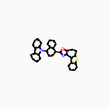 c1ccc2c(c1)sc1ccc3oc(-c4ccc(-n5c6ccccc6c6ccccc65)c5ccccc45)nc3c12